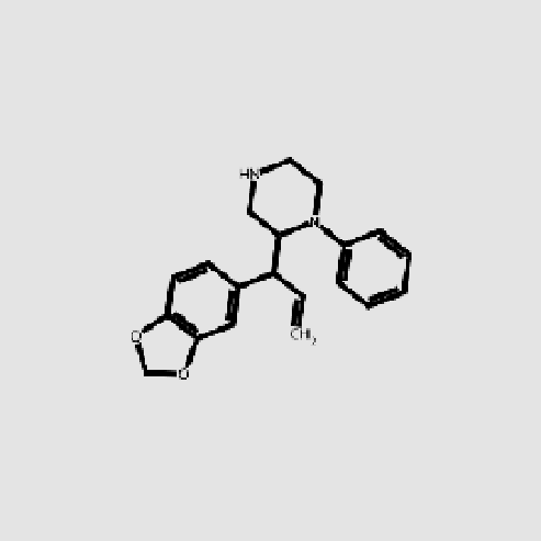 C=CC(c1ccc2c(c1)OCO2)C1CNCCN1c1ccccc1